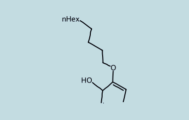 [CH2]C(O)C(=CC)OCCCCCCCCCC